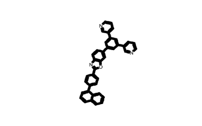 c1cncc(-c2cc(-c3cccnc3)cc(-c3ccc4nc(-c5ccc(-c6cccc7ccccc67)cc5)oc4c3)c2)c1